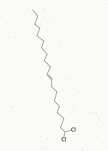 CCCCCCCCCCC=CCCCCCCCC(Cl)Cl